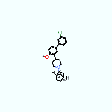 COc1ccc(-c2cccc(Cl)c2)cc1C1CCN([C@H]2C[C@H]3CC[C@H]2C3)CC1